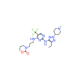 CCc1nn(C2CCN(C)CC2)nc1Nc1ncc(C(F)(F)F)c(NCCCN2CCCOC2=O)n1